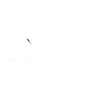 CCCN[C@@H](CC)C1CCCC(F)(F)C1